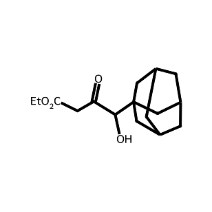 CCOC(=O)CC(=O)C(O)C12CC3CC(CC(C3)C1)C2